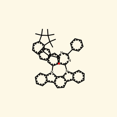 CC1(C)c2cccc(-c3cccc(-n4c5ccccc5c5ccc6c7ccccc7n(-c7nc(-c8ccccc8)nc(-c8ccccc8)n7)c6c54)c3)c2C(C)(C)C1(C)C